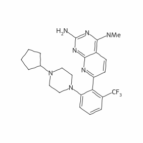 CNc1nc(N)nc2nc(-c3c(N4CCN(C5CCCC5)CC4)cccc3C(F)(F)F)ccc12